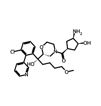 COCCCC[C@@](O)(c1cccc(Cl)c1-c1cccnc1)[C@H]1CN(C(=O)[C@H]2C[C@@H](N)[C@@H](O)C2)CCO1